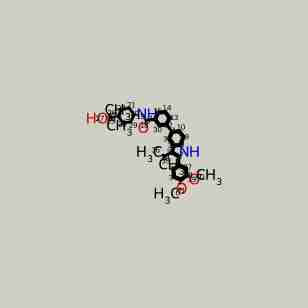 COc1ccc(-c2[nH]c3ccc(-c4cccc(C(=O)N[C@H]5CC[C@H](C(C)(C)O)CC5)c4)cc3c2C(C)C)cc1OC